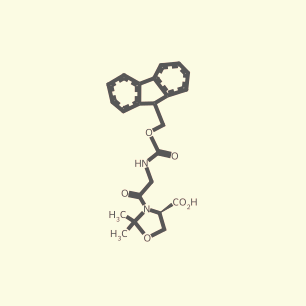 CC1(C)OC[C@H](C(=O)O)N1C(=O)CNC(=O)OCC1c2ccccc2-c2ccccc21